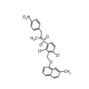 Cc1ccc2cccc(OCc3c(Cl)ccc(S(=O)(=O)N(C)Cc4ccc([N+](=O)[O-])cc4)c3Cl)c2n1